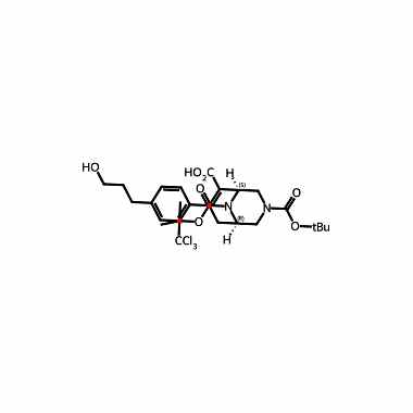 CC(C)(C)OC(=O)N1C[C@H]2CC(c3ccc(CCCO)cc3)=C(C(=O)O)[C@@H](C1)N2C(=O)OC(C)(C)C(Cl)(Cl)Cl